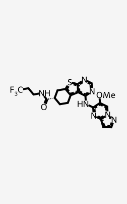 COc1cn2nccc2nc1Nc1ncnc2sc3c(c12)CC[C@H](C(=O)NCCC(F)(F)F)C3